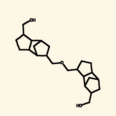 OCC1CC2CC1C1C(COCC3CC4CC3C3CCC(CO)C43)CCC21